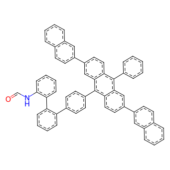 O=CNc1ccccc1-c1ccccc1-c1ccc(-c2c3ccc(-c4ccc5ccccc5c4)cc3c(-c3ccccc3)c3ccc(-c4ccc5ccccc5c4)cc23)cc1